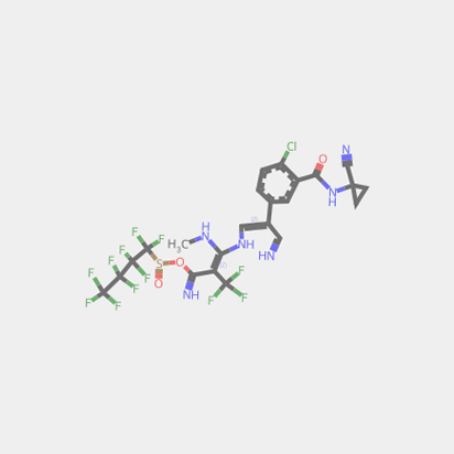 CN/C(N/C=C(\C=N)c1ccc(Cl)c(C(=O)NC2(C#N)CC2)c1)=C(\C(=N)OS(=O)C(F)(F)C(F)(F)C(F)(F)C(F)(F)F)C(F)(F)F